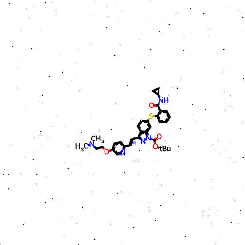 CN(C)CCOc1ccc(/C=C/c2nn(C(=O)OC(C)(C)C)c3cc(Sc4ccccc4C(=O)NC4CC4)ccc23)nc1